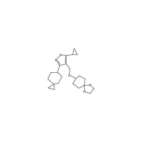 C1COC2(CCC(OCc3c(C4CCC5(CC4)CC5)noc3C3CC3)CC2)O1